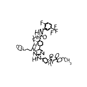 CCOC(=O)/N=[SH](=O)/c1cccc(Nc2ncc(-c3ccc(NC(=O)Nc4cc(C(F)(F)F)ccc4F)c(F)c3)c(NCCCN3CCOCC3)n2)c1